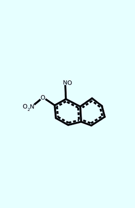 O=Nc1c(O[N+](=O)[O-])ccc2ccccc12